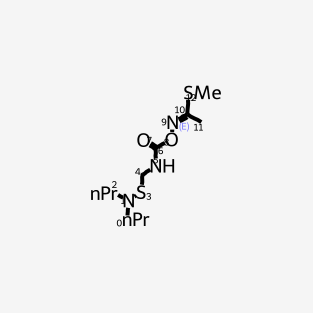 CCCN(CCC)SCNC(=O)O/N=C(\C)SC